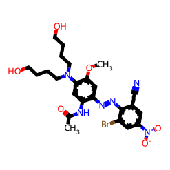 COc1cc(N=Nc2c(Br)cc([N+](=O)[O-])cc2C#N)c(NC(C)=O)cc1N(CCCCO)CCCCO